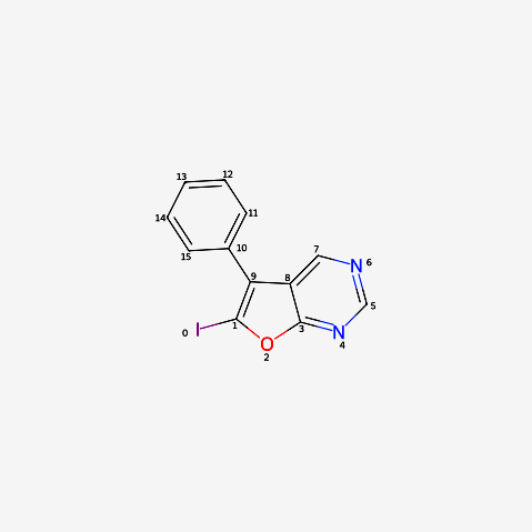 Ic1oc2ncncc2c1-c1ccccc1